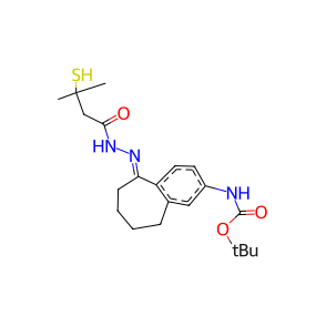 CC(C)(S)CC(=O)NN=C1CCCCc2cc(NC(=O)OC(C)(C)C)ccc21